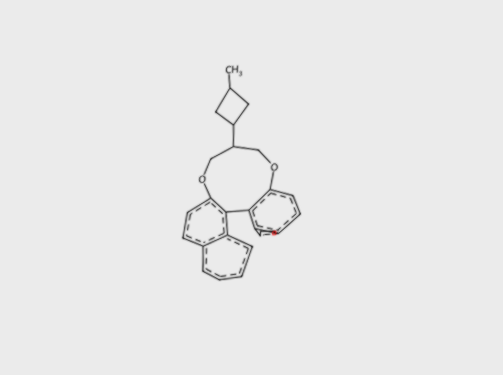 CC1CC(C2COc3ccc4ccccc4c3-c3c(ccc4ccccc34)OC2)C1